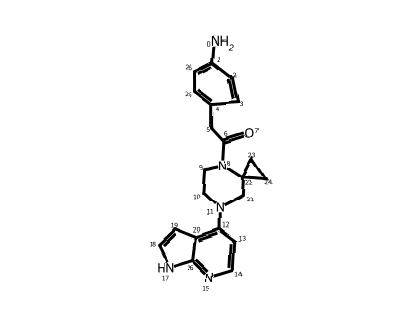 Nc1ccc(CC(=O)N2CCN(c3ccnc4[nH]ccc34)CC23CC3)cc1